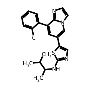 CC(C)C(C)Nc1ncc(-c2cc(-c3ccccc3Cl)c3nccn3c2)s1